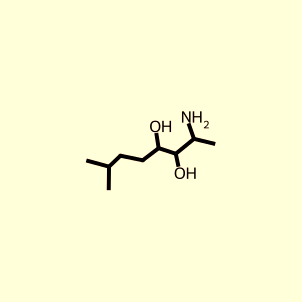 CC(C)CCC(O)C(O)C(C)N